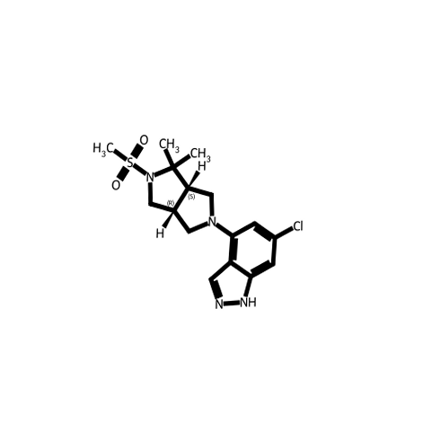 CC1(C)[C@@H]2CN(c3cc(Cl)cc4[nH]ncc34)C[C@@H]2CN1S(C)(=O)=O